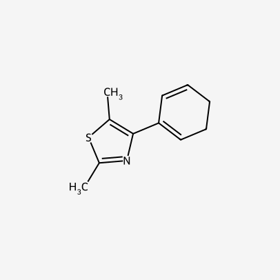 Cc1nc(C2=CCCC=C2)c(C)s1